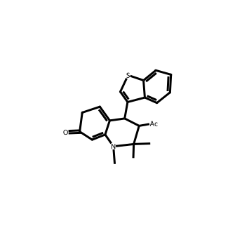 CC(=O)C1C(c2csc3ccccc23)C2=CCC(=O)C=C2N(C)C1(C)C